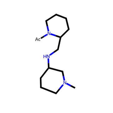 CC(=O)N1CCCCC1CNC1CCCN(C)C1